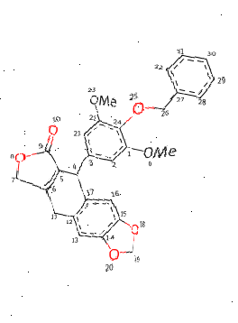 COc1cc(C2C3=C(COC3=O)Cc3cc4c(cc32)OCO4)cc(OC)c1OCc1ccccc1